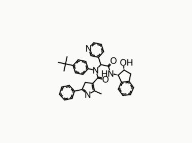 CC1=C(C(=O)N(c2ccc(C(C)(C)C)cc2)C(C(=O)N[C@@H]2c3ccccc3C[C@@H]2O)c2cccnc2)CC(c2ccccc2)=N1